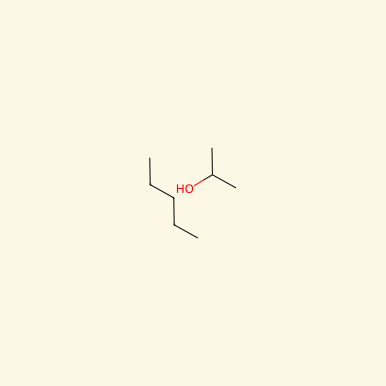 CC(C)O.CCCCC